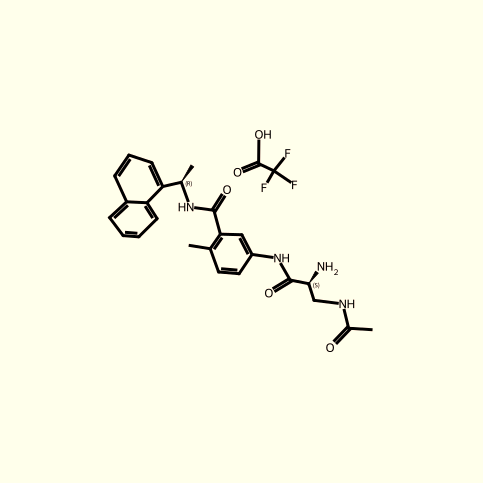 CC(=O)NC[C@H](N)C(=O)Nc1ccc(C)c(C(=O)N[C@H](C)c2cccc3ccccc23)c1.O=C(O)C(F)(F)F